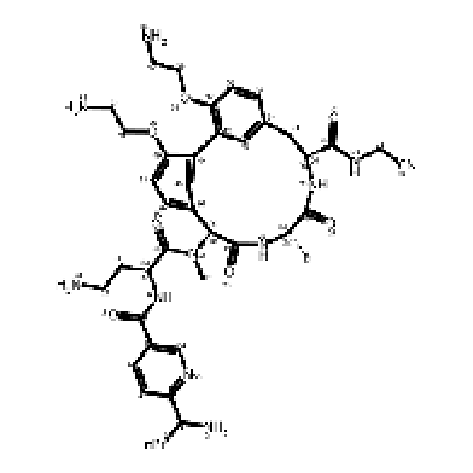 CCCC(N)c1ccc(C(=O)N[C@@H](CCN)C(=O)N(C)[C@@H]2C(=O)N[C@@H](C)C(=O)N[C@H](C(=O)NCC#N)Cc3ccc(OCCN)c(c3)-c3cc2ccc3OCCN)cn1